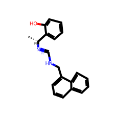 C[C@@H](/N=C/NCc1cccc2ccccc12)c1ccccc1O